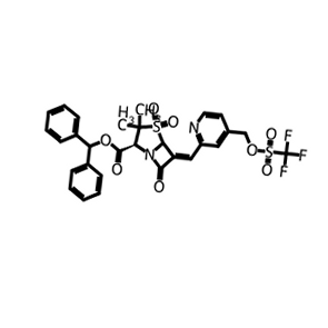 CC1(C)[C@H](C(=O)OC(c2ccccc2)c2ccccc2)N2C(=O)/C(=C/c3cc(COS(=O)(=O)C(F)(F)F)ccn3)C2S1(=O)=O